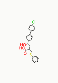 O=C(O)C(CSc1ccccc1)C[C@@H](O)c1ccc(-c2ccc(Cl)cc2)cc1